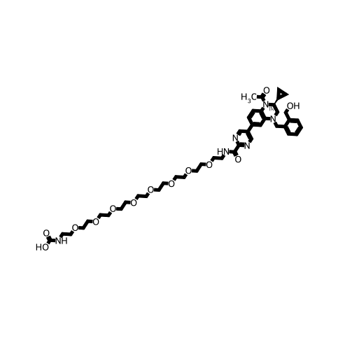 CC(=O)N1c2ccc(-c3cnc(C(=O)NCCOCCOCCOCCOCCOCCOCCOCCOCCNC(=O)O)nc3)cc2N(Cc2ccccc2CO)C[C@@H]1C1CC1